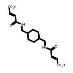 O=C(O)C=CC(=O)NCC1CCC(CNC(=O)C=CC(=O)O)CC1